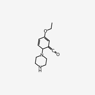 CCOC1=CC(=C=O)C(N2CCNCC2)C=C1